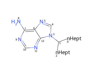 CCCCCCCC(CCCCCCC)n1cnc2c(N)ncnc21